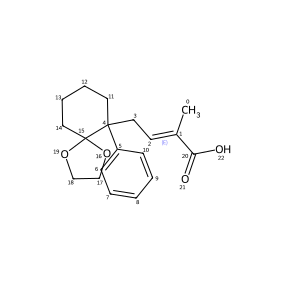 C/C(=C\CC1(c2ccccc2)CCCCC12OCCO2)C(=O)O